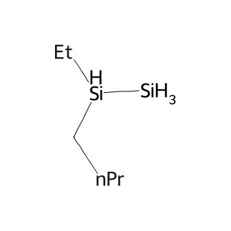 [CH2]CCC[SiH]([SiH3])CC